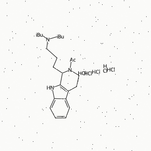 CCC(C)N(CCCC1c2[nH]c3ccccc3c2CCN1C(C)=O)C(C)CC.Cl.Cl.Cl.Cl.Cl